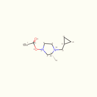 C[C@@H]1CN(OC(=O)C(C)(C)C)CCN1CC1CC1